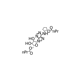 CCCC(=O)OC[C@H]1O[C@@H](n2cnc3c(NC4CCC[C@@H]4OC(=O)CCC)ncnc32)[C@H](O)[C@@H]1O